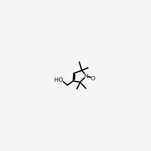 CC1(C)C=C(CO)C(C)(C)N1[O]